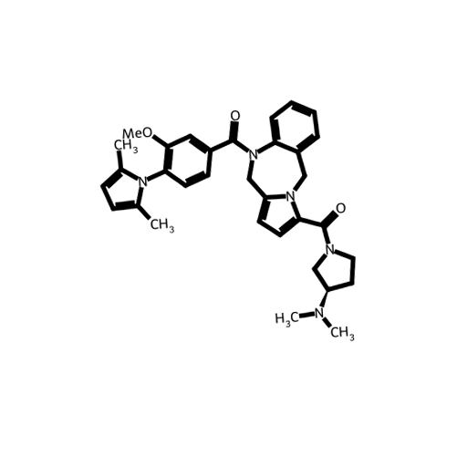 COc1cc(C(=O)N2Cc3ccc(C(=O)N4CC[C@@H](N(C)C)C4)n3Cc3ccccc32)ccc1-n1c(C)ccc1C